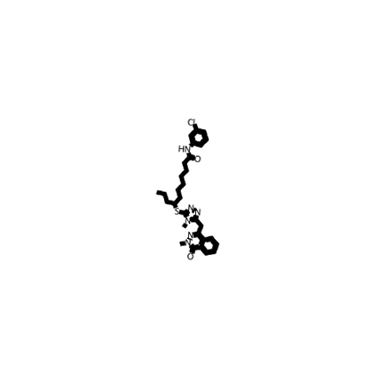 CCCC(CCCCCCC(=O)Nc1cccc(Cl)c1)Sc1nnc(Cc2nn(C)c(=O)c3ccccc23)n1C